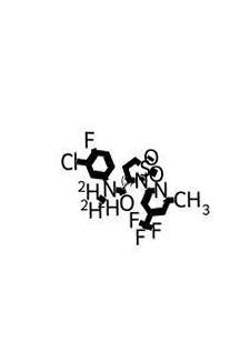 [2H]C([2H])([2H])N(C(=O)[C@@H]1CCS(=O)(=O)N1c1cc(C(F)(F)F)cc(C)n1)c1ccc(F)c(Cl)c1